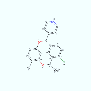 N#Cc1ccc(OCc2ccncc2)cc1OC(C(=O)O)c1ccccc1Cl